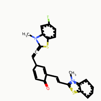 CN1C(=C=CC2C=CC(=O)C(/C=C/c3sc4ccccc4[n+]3C)=C2)Sc2ccc(F)cc21